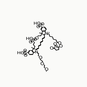 COCCOCCOCCN1/C(=C/C=C/C=C/C=C/C2=[N+](CCCCCC(=O)ON3C(=O)CCC3=O)c3ccc(S(=O)(=O)O)cc3C2(C)CCOC)C(C)(CCCS(=O)(=O)O)c2cc(S(=O)(=O)O)ccc21